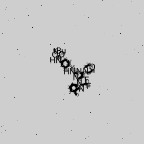 Cc1cccc2c1nc(C(F)F)n2-c1cc(N2CCOCC2)nc(NC[C@H]2CC[C@H](NC(=O)OC(C)(C)C)CC2)n1